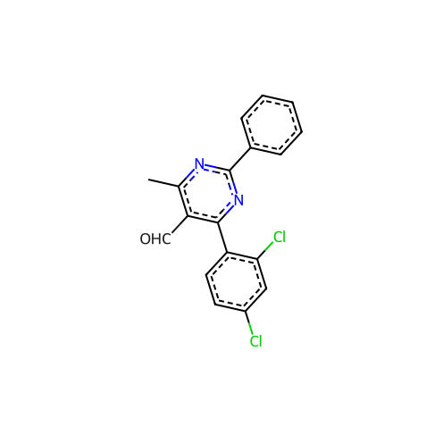 Cc1nc(-c2ccccc2)nc(-c2ccc(Cl)cc2Cl)c1C=O